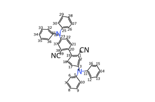 N#Cc1cc(N(c2ccccc2)c2ccccc2)ccc1-c1ccc(N(c2ccccc2)c2ccccc2)cc1C#N